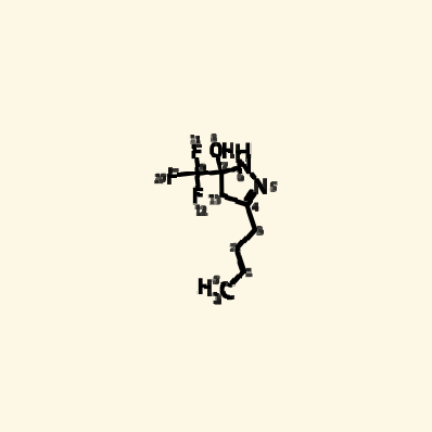 CCCCC1=NNC(O)(C(F)(F)F)C1